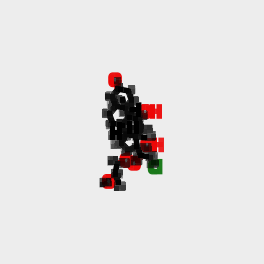 C[C@]12CCC(=O)C=C1CC[C@@H]1[C@@H]2C(O)C[C@@]2(C)[C@H]1CC(OCC1CO1)[C@]2(O)C(=O)CCl